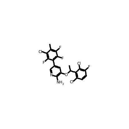 Cc1c(F)c(F)c(-c2cnc(N)c(OC(C)c3c(Cl)ccc(F)c3Cl)c2)c(F)c1Cl